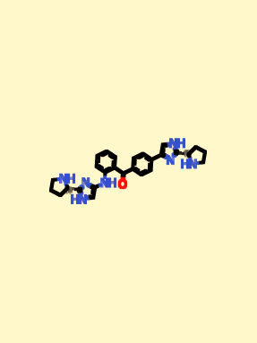 O=C(c1ccc(-c2c[nH]c([C@@H]3CCCN3)n2)cc1)c1ccccc1Nc1c[nH]c([C@@H]2CCCN2)n1